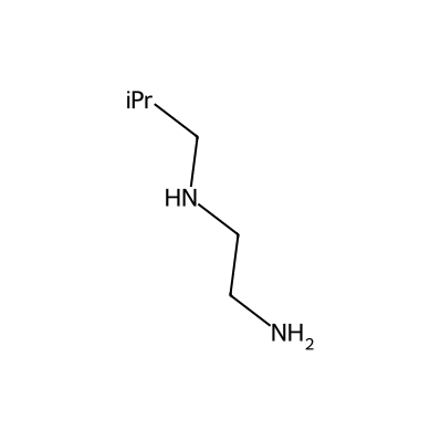 [CH2]C(C)CNCCN